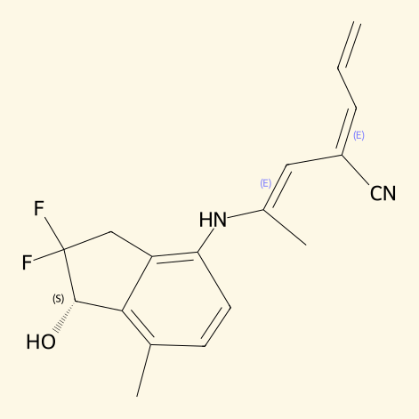 C=C/C=C(C#N)\C=C(/C)Nc1ccc(C)c2c1CC(F)(F)[C@H]2O